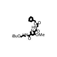 COc1cc(C(=O)NCCCOCC(C)C)cnc1C(=O)NCC(=O)OCc1ccccc1